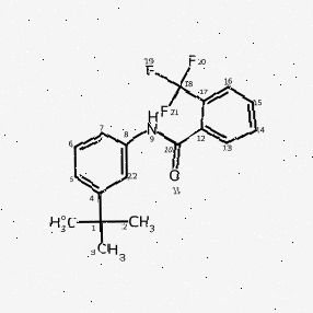 CC(C)(C)c1cccc(NC(=O)c2ccccc2C(F)(F)F)c1